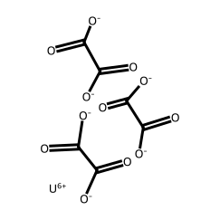 O=C([O-])C(=O)[O-].O=C([O-])C(=O)[O-].O=C([O-])C(=O)[O-].[U+6]